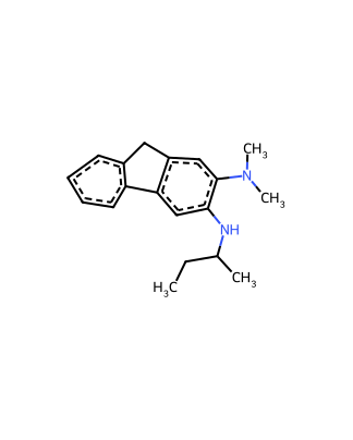 CCC(C)Nc1cc2c(cc1N(C)C)Cc1ccccc1-2